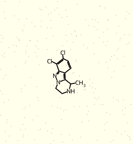 CC1NCCn2nc3c(Cl)c(Cl)ccc3c21